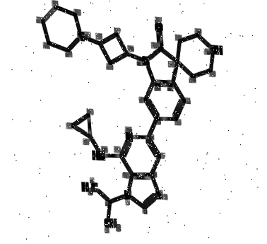 CC(C)n1cnc2cc(-c3ccc4c(c3)N(C3CC(N5CCCCC5)C3)C(=O)C43CCNCC3)nc(NC3CC3)c21